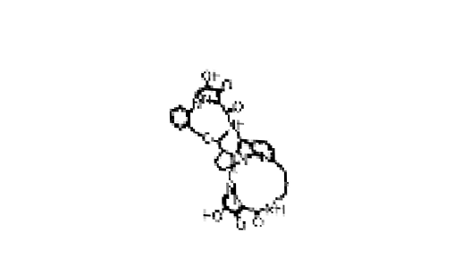 Cc1cn2c3nc(ccc13)CCCCNC(=O)c1nn(cc(O)c1=O)CC21CCC(C2CCc3ccccc3-n3cc(O)c(=O)c(n3)C(=O)NC2)C1